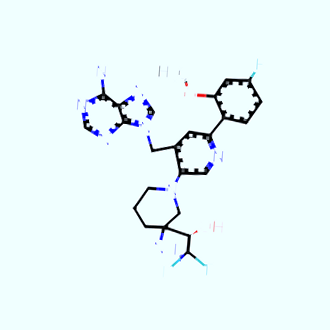 COc1cc(F)ccc1-c1cc(Cn2cnc3c(N)ncnc32)c(N2CCCC(N)([C@@H](O)C(F)F)C2)cn1